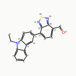 CCn1c2ccccc2c2cc(-c3ccc(C=O)c4nsnc34)ccc21